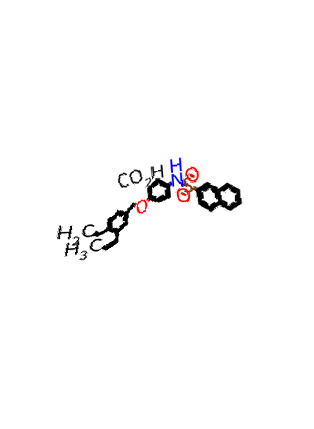 C=Cc1ccc(COc2ccc(NS(=O)(=O)c3ccc4ccccc4c3)c(C(=O)O)c2)cc1/C=C\C